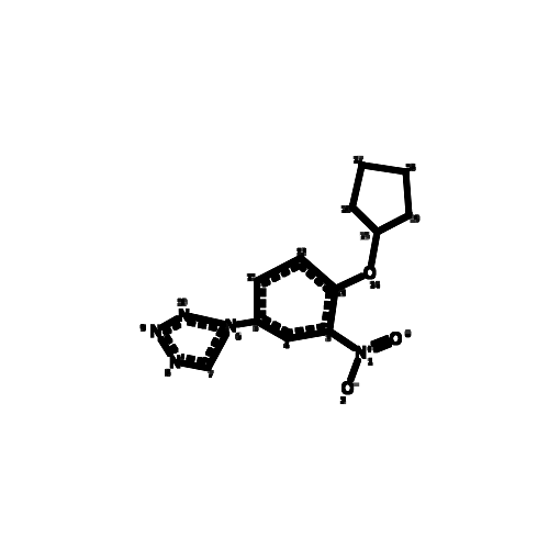 O=[N+]([O-])c1cc(-n2cnnn2)ccc1OC1CCCC1